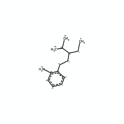 CCC(CCc1ccccc1N)C(C)C